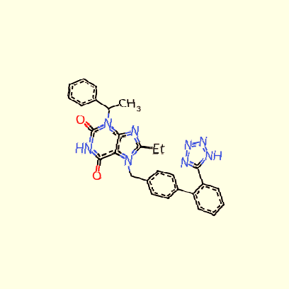 CCc1nc2c(c(=O)[nH]c(=O)n2C(C)c2ccccc2)n1Cc1ccc(-c2ccccc2-c2nnn[nH]2)cc1